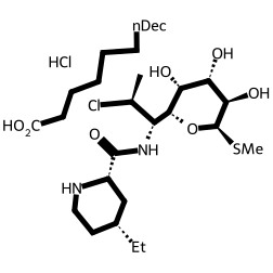 CCCCCCCCCCCCCCCC(=O)O.CC[C@@H]1CCN[C@H](C(=O)N[C@@H]([C@H]2O[C@H](SC)[C@H](O)[C@@H](O)[C@H]2O)[C@H](C)Cl)C1.Cl